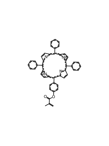 C=C(C)C(=O)Oc1ccc(-c2c3nc(c(-c4ccccc4)c4ccc([nH]4)c(-c4ccccc4)c4nc(c(-c5ccccc5)c5ccc2[nH]5)C=C4)C=C3)cc1